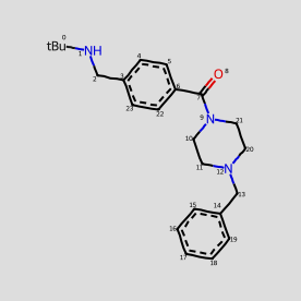 CC(C)(C)NCc1ccc(C(=O)N2CCN(Cc3ccccc3)CC2)cc1